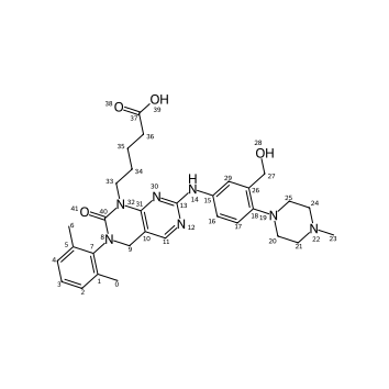 Cc1cccc(C)c1N1Cc2cnc(Nc3ccc(N4CCN(C)CC4)c(CO)c3)nc2N(CCCCC(=O)O)C1=O